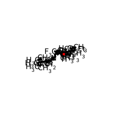 C=C(C)C(C)[C@H](/C=C/[C@@H](N)CC(=O)OCC1CN(CCc2cn(C(CC(C)(C)F)C(=O)N[C@@H](CC(=O)OCC)c3cc(-c4c(C)cc(C)cc4C)cc(C(F)(F)F)c3F)c(=O)cc2C(F)(F)F)C1)[C@H](C)[C@H](C)[C@@H](C)F